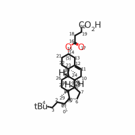 C[C@H](CCC(C)(C)C)[C@H]1CC[C@H]2[C@@H]3CC=C4C[C@@H](OC(=O)CCC(=O)O)CC[C@]4(C)[C@H]3CC[C@]12C